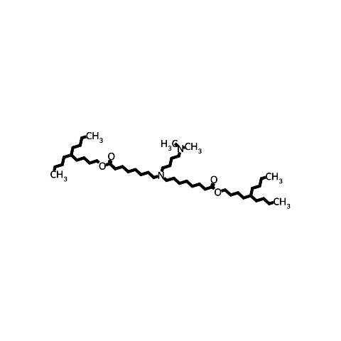 CCCCC(CCCC)CCCCOC(=O)CCCCCCCN(CCCCCCCC(=O)OCCCCC(CCCC)CCCC)CCCCN(C)C